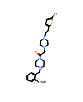 COc1ccccc1CN1CCN(C(=O)CN2CCN(CCc3ccc(Cl)s3)CC2)CC1